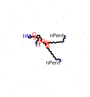 CC/C=C\CC1C(CC(=O)OCC(COCCCCCCCC/C=C\C/C=C\CCCCC)OCCCCCCCC/C=C\C/C=C\CCCCC)CCC1OC(=O)C1CCNC1